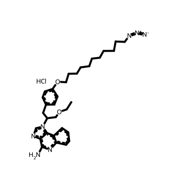 CCOCC(Cc1ccc(OCCCCCCCCCCCN=[N+]=[N-])cc1)n1cnc2c(N)nc3ccccc3c21.Cl